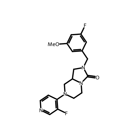 COc1cc(F)cc(CN2CC3CN(c4ccncc4F)CCN3C2=O)c1